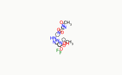 CC(=O)n1cc(S(=O)(=O)N2CCC(Nc3ncc4cc(OC(F)F)c(=O)n([C@@H]5CCC[C@@]5(C)O)c4n3)CC2)cn1